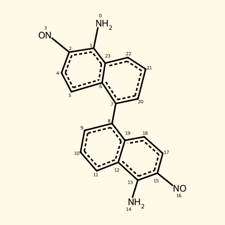 Nc1c(N=O)ccc2c(-c3cccc4c(N)c(N=O)ccc34)cccc12